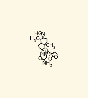 C=C1CCC2[C@@H](C)/C(=N\O)CC[C@]2(C)[C@@H]1CC(NCC(N)=O)C1=CCOC1=O